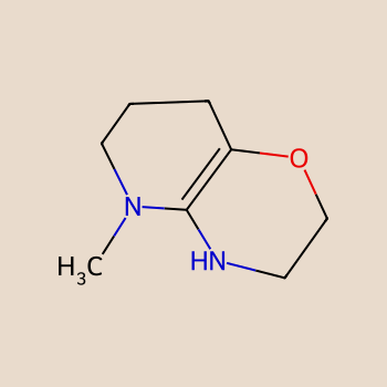 CN1CCCC2=C1NCCO2